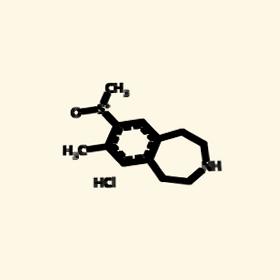 Cc1cc2c(cc1[S+](C)[O-])CCNCC2.Cl